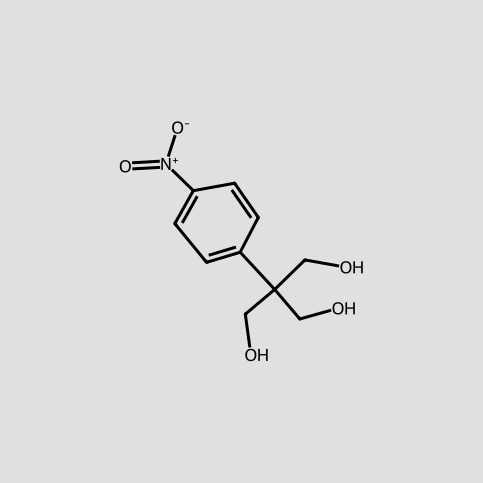 O=[N+]([O-])c1ccc(C(CO)(CO)CO)cc1